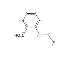 O=C(O)c1ncccc1OCBr